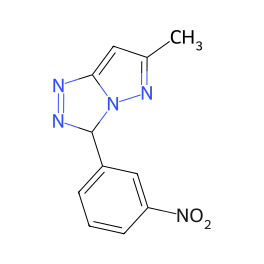 Cc1cc2n(n1)C(c1cccc([N+](=O)[O-])c1)N=N2